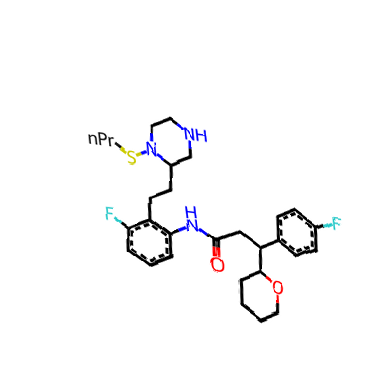 CCCSN1CCNCC1CCc1c(F)cccc1NC(=O)CC(c1ccc(F)cc1)C1CCCCO1